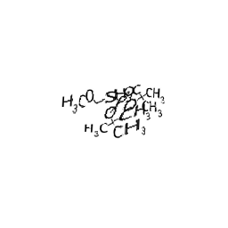 COCSP(=O)(OC(C)(C)C)OC(C)(C)C